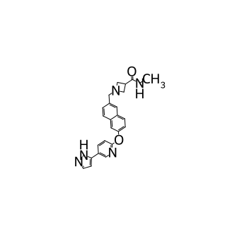 CNC(=O)C1CN(Cc2ccc3cc(Oc4ccc(-c5ccn[nH]5)cn4)ccc3c2)C1